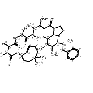 CC[C@H](C)[C@@H](C(CC(=O)N1CCC[C@H]1[C@H](OC)[C@@H](C)C(=O)N[C@H](C)[C@@H](O)c1ccccc1)OC)N(C)C(=O)[C@@H](NC(=O)[C@H](C(C)C)N(C)C(=O)O[C@H]1/C=C/CC[C@@](C)(C(=O)O)CC1)C(C)C